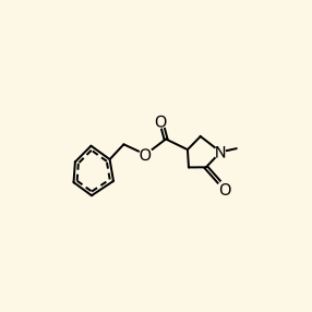 CN1CC(C(=O)OCc2ccccc2)CC1=O